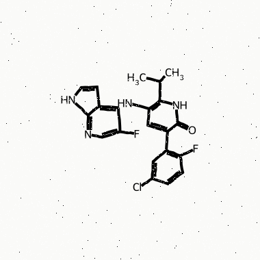 CC(C)c1[nH]c(=O)c(-c2cc(Cl)ccc2F)cc1Nc1c(F)cnc2[nH]ccc12